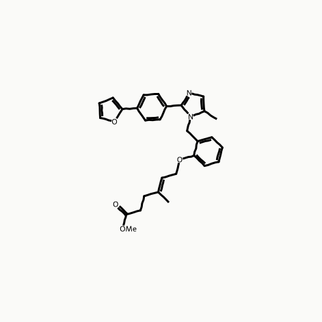 COC(=O)CC/C(C)=C/COc1ccccc1Cn1c(C)cnc1-c1ccc(-c2ccco2)cc1